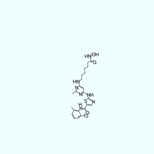 Cc1nc(NCCCCCCC(=O)NO)cc(Nc2ncc(C(=O)Nc3c(C)cccc3Cl)s2)n1